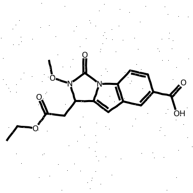 CCOC(=O)CC1c2cc3cc(C(=O)O)ccc3n2C(=O)N1OC